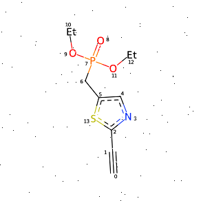 C#Cc1ncc(CP(=O)(OCC)OCC)s1